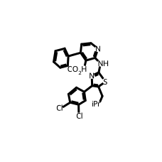 CC(C)Cc1sc(Nc2nccc(-c3ccccc3)c2C(=O)O)nc1-c1ccc(Cl)c(Cl)c1